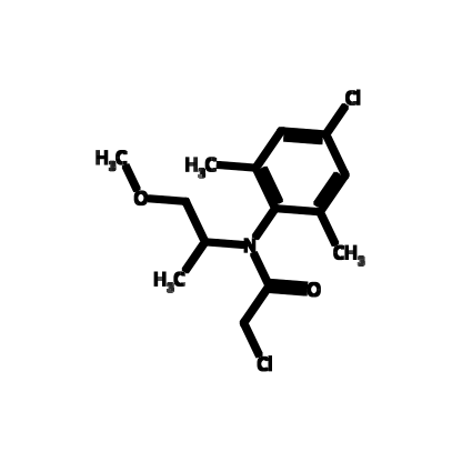 COCC(C)N(C(=O)CCl)c1c(C)cc(Cl)cc1C